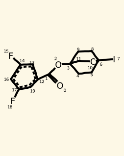 O=C(OC12CCC(I)(CC1)CC2)c1cc(F)cc(F)c1